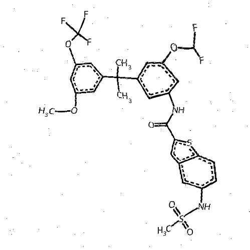 COc1cc(OC(F)(F)F)cc(C(C)(C)c2cc(NC(=O)c3cc4cc(NS(C)(=O)=O)ccc4s3)cc(OC(F)F)c2)c1